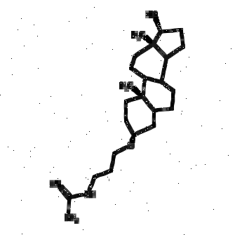 C[C@]12CC[C@H](OCCCNC(=N)N)CC1CCC1C2CC[C@@]2(C)C1CC[C@@H]2O